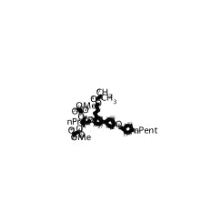 C=C(C)C(=O)OCCCc1cc(-c2ccc(OCC3CCC(CCCCC)CC3)cc2)ccc1OCC(CCC)(COC(=O)C(=O)OC)COC(=O)C(=O)OC